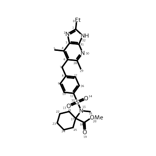 CCc1nc2c(C)c(Cc3ccc(S(=O)(=O)N(C)C4(C(=O)OC)CCCCC4)cc3)c(C)nc2[nH]1